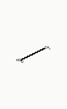 CCC=CCCCCCCC=CCCC=CCCCC(=O)O